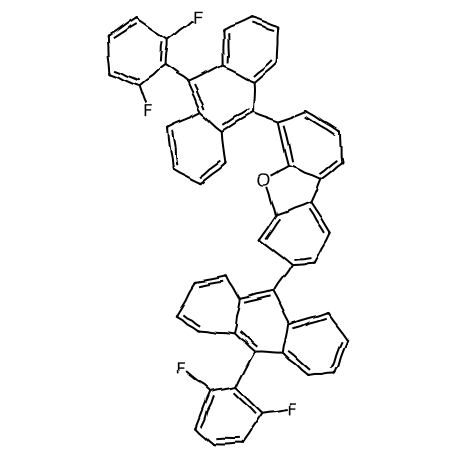 Fc1cccc(F)c1-c1c2ccccc2c(-c2ccc3c(c2)oc2c(-c4c5ccccc5c(-c5c(F)cccc5F)c5ccccc45)cccc23)c2ccccc12